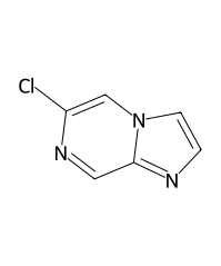 Clc1cn2ccnc2cn1